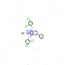 Nc1n(CSc2ccc(Cl)cc2Cl)c2cc(-c3ccccc3)ccc2[n+]1CSc1ccc(Cl)cc1Cl.[Br-]